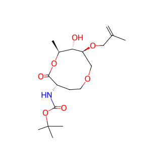 C=C(C)CO[C@H]1COCC[C@H](NC(=O)OC(C)(C)C)C(=O)O[C@@H](C)[C@@H]1O